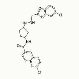 O=C(NC1CCC(NNCc2cc3cc(Cl)ccc3o2)C1)c1ccc2cc(Cl)ccc2c1